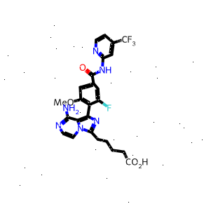 COc1cc(C(=O)Nc2cc(C(F)(F)F)ccn2)cc(F)c1-c1nc(CCCCC(=O)O)n2ccnc(N)c12